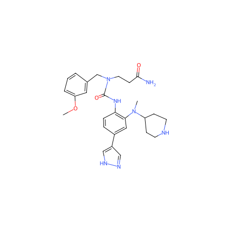 COc1cccc(CN(CCC(N)=O)C(=O)Nc2ccc(-c3cn[nH]c3)cc2N(C)C2CCNCC2)c1